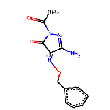 CNC(=O)N1N=C(N)/C(=N\OCc2ccccc2)C1=O